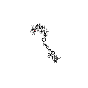 Cn1c(=O)n(C2CCC(=O)NC2=O)c2cccc(N3CC(COC4CN(C[C@H]5CC[C@H](n6cc(NC(=O)c7cnn8ccc(N9C[C@H]%10C[C@@H]9CO%10)nc78)c(C(F)F)n6)CC5)C4)C3)c21